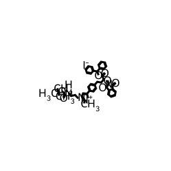 C[n+]1cc(-c2ccc(CCC(ON3C(=O)c4ccccc4C3=O)C(=O)OC(c3ccccc3)c3ccccc3)cc2)cn1CCCNC(=O)OC(C)(C)C.[I-]